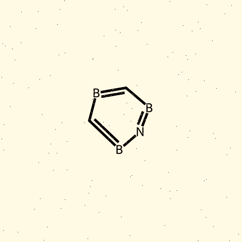 b1cbnbc1